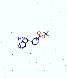 CC(C)(C)OC(=O)N1CCC=C(c2c[nH]c3cnccc23)C1